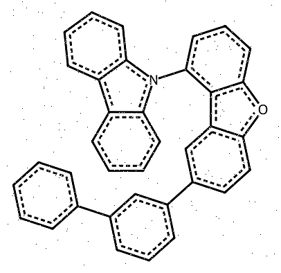 c1ccc(-c2cccc(-c3ccc4oc5cccc(-n6c7ccccc7c7ccccc76)c5c4c3)c2)cc1